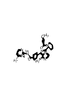 CC#CC(=O)N1CCCCC1c1nc(-c2ccc(C(=O)Nc3nccc(C)n3)cc2)c2c(N)nccn12